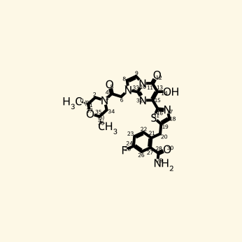 C[C@@H]1CN(C(=O)Cn2ccn3c(=O)c(O)c(-c4ncc(Cc5ccc(F)cc5C(N)=O)s4)nc23)C[C@H](C)O1